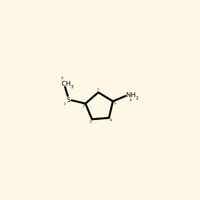 CSC1CCC(N)C1